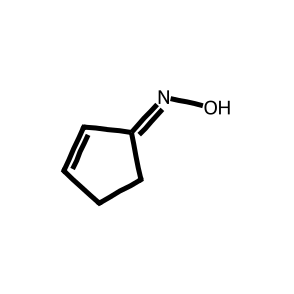 ON=C1C=CCC1